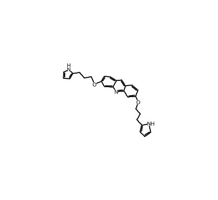 c1c[nH]c(CCCOc2ccc3cc4ccc(OCCCc5ccc[nH]5)cc4nc3c2)c1